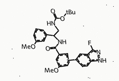 COc1cc(C(=O)NC(CNC(=O)OC(C)(C)C)c2cccc(OC)c2)cc(-c2ccc3[nH]nc(F)c3c2)c1